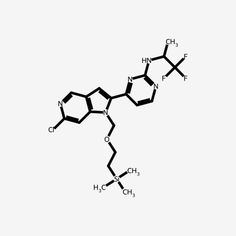 CC(Nc1nccc(-c2cc3cnc(Cl)cc3n2COCC[Si](C)(C)C)n1)C(F)(F)F